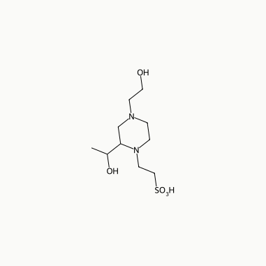 CC(O)C1CN(CCO)CCN1CCS(=O)(=O)O